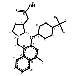 Cc1cc(OC2CCC(C(C)(C)C)CC2)c(CN2CCC(CC(=O)O)C2)c2ccccc12